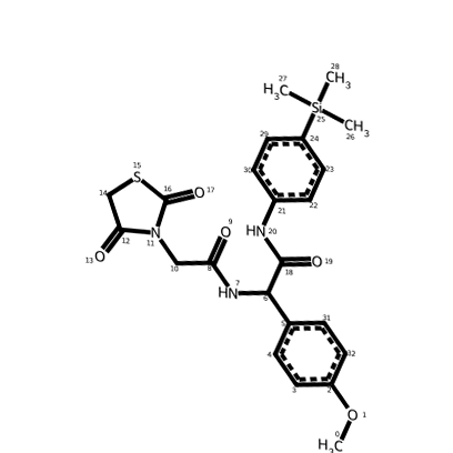 COc1ccc(C(NC(=O)CN2C(=O)CSC2=O)C(=O)Nc2ccc([Si](C)(C)C)cc2)cc1